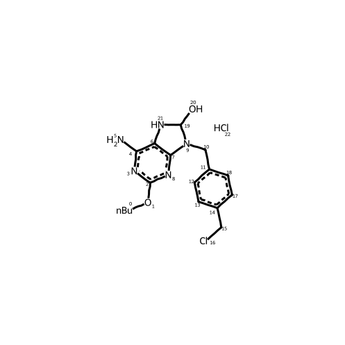 CCCCOc1nc(N)c2c(n1)N(Cc1ccc(CCl)cc1)C(O)N2.Cl